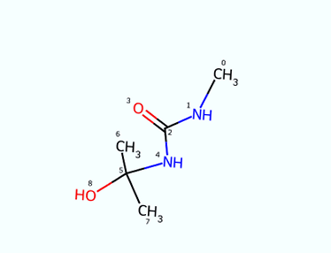 CNC(=O)NC(C)(C)O